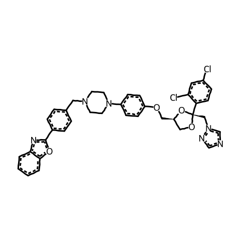 Clc1ccc([C@]2(Cn3cncn3)OC[C@@H](COc3ccc(N4CCN(Cc5ccc(-c6nc7ccccc7o6)cc5)CC4)cc3)O2)c(Cl)c1